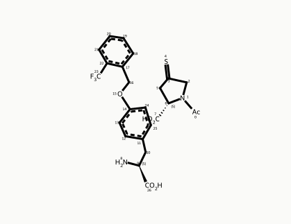 CC(=O)N1CC(=S)C[C@H]1C(=O)O.N[C@@H](Cc1ccc(OCc2ccccc2C(F)(F)F)cc1)C(=O)O